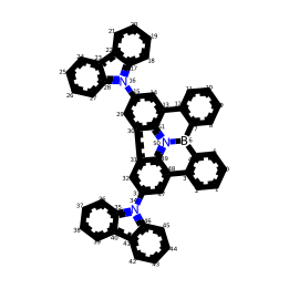 c1ccc2c(c1)B1c3ccccc3-c3cc(-n4c5ccccc5c5ccccc54)cc4c5cc(-n6c7ccccc7c7ccccc76)cc-2c5n1c34